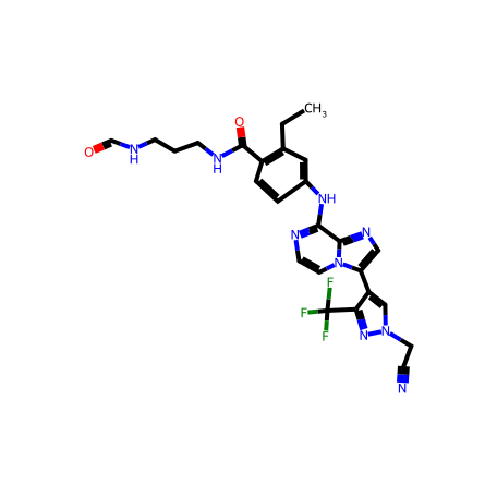 CCc1cc(Nc2nccn3c(-c4cn(CC#N)nc4C(F)(F)F)cnc23)ccc1C(=O)NCCCNC=O